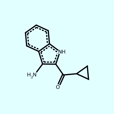 Nc1c(C(=O)C2CC2)[nH]c2ccccc12